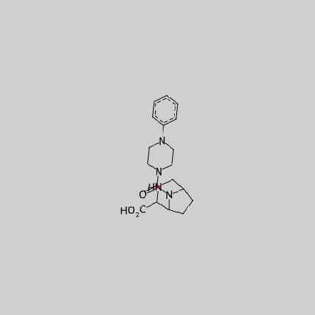 O=C(O)C1NCC2CCC1N2C(=O)N1CCN(c2ccccc2)CC1